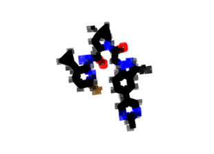 CC(=O)c1nn(CC(=O)N2C3C[C@]3(C)C[C@H]2C(=O)Nc2nc(Br)ccc2C2CC2)c2ccc(-c3cnc(C)nc3)cc12